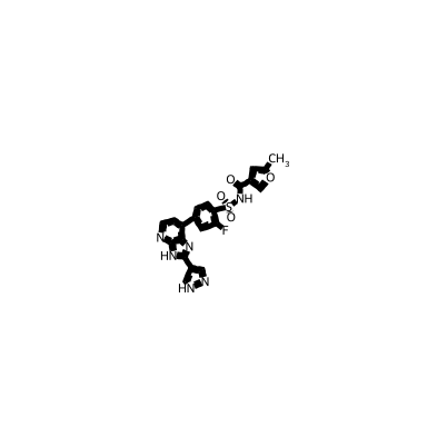 Cc1cc(C(=O)NS(=O)(=O)c2ccc(-c3ccnc4[nH]c(-c5cn[nH]c5)nc34)cc2F)co1